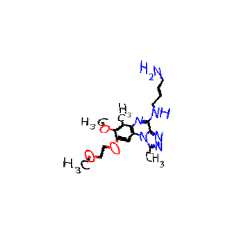 COCCOc1cc2c(nc(NCCCCN)c3nnc(C)n32)c(C)c1OC